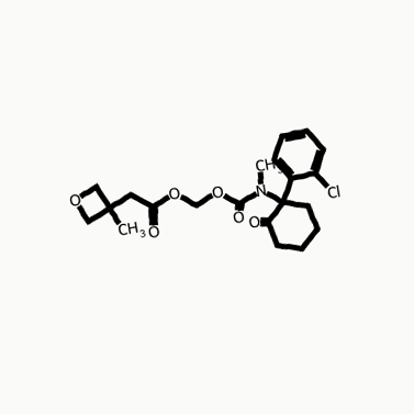 CN(C(=O)OCOC(=O)CC1(C)COC1)C1(c2ccccc2Cl)CCCCC1=O